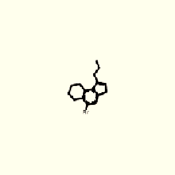 CCCC1=CCc2cc(Br)c3c(c21)CCCC3